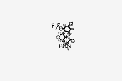 O=C(c1nc[nH]n1)N(Cc1cc(Cl)cc(OC(F)(F)F)c1)C1CCOCC1